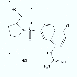 Cl.N=C(N)Nc1ncc(Cl)c2ccc(S(=O)(=O)N3CCCC3CO)cc12